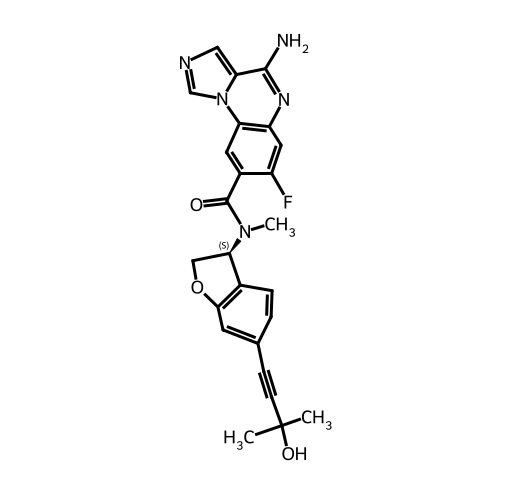 CN(C(=O)c1cc2c(cc1F)nc(N)c1cncn12)[C@@H]1COc2cc(C#CC(C)(C)O)ccc21